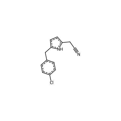 N#CCc1ccc(Cc2ccc(Cl)cc2)[nH]1